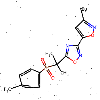 CC(C)(C)c1cc(-c2noc(C(C)(C)S(=O)(=O)c3ccc(C(F)(F)F)cc3)n2)on1